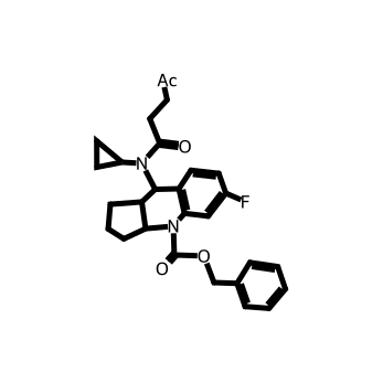 CC(=O)CCC(=O)N(C1CC1)C1c2ccc(F)cc2N(C(=O)OCc2ccccc2)C2CCCC21